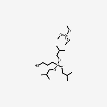 CC(C)CO[Si](CCCS)(OCC(C)C)OCC(C)C.CO[SiH](OC)OC